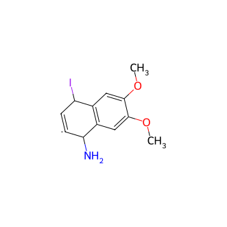 COc1cc2c(cc1OC)C(I)C=[C]C2N